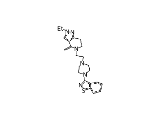 C=C1c2cn(CC)nc2CCN1CCN1CCN(c2nsc3ccccc23)CC1